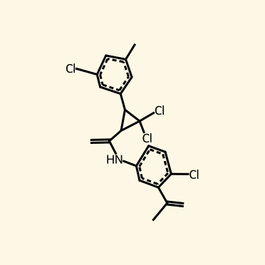 C=C(C)c1cc(NC(=C)C2C(c3cc(C)cc(Cl)c3)C2(Cl)Cl)ccc1Cl